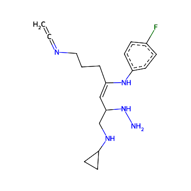 C=C=NCCC/C(=C/C(CNC1CC1)NN)Nc1ccc(F)cc1